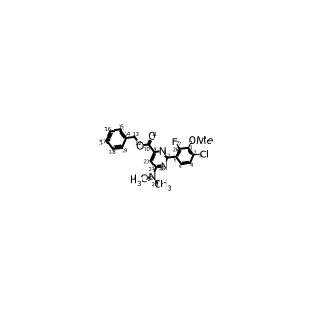 COc1c(Cl)ccc(-c2nc(C(=O)OCc3ccccc3)cc(N(C)C)n2)c1F